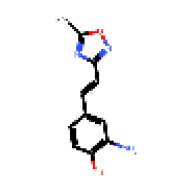 CCCc1nc(/C=C/c2ccc(O)c(N)c2)no1